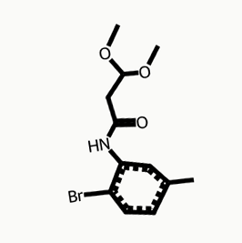 COC(CC(=O)Nc1cc(C)ccc1Br)OC